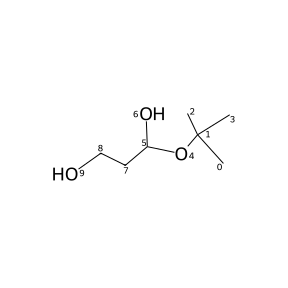 CC(C)(C)OC(O)CCO